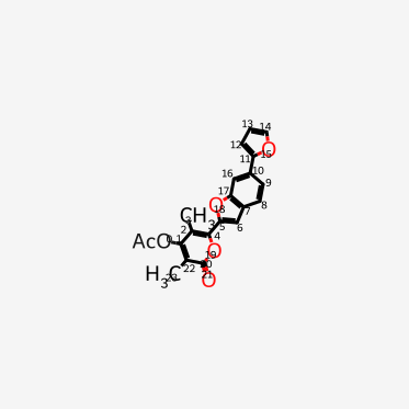 CC(=O)Oc1c(C)c(-c2cc3ccc(-c4ccco4)cc3o2)oc(=O)c1C